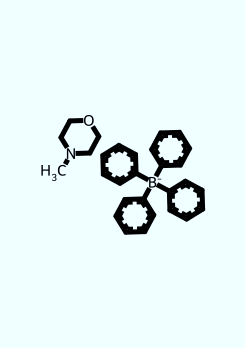 CN1CCOCC1.c1ccc([B-](c2ccccc2)(c2ccccc2)c2ccccc2)cc1